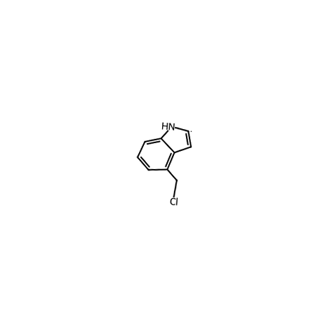 ClCc1cccc2[nH][c]cc12